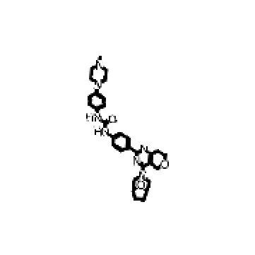 CN1CCN(c2ccc(NC(=O)Nc3ccc(-c4nc5c(c(N6CC7CCC(C6)O7)n4)COCC5)cc3)cc2)CC1